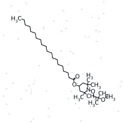 CCCCCCCCCCCCCCCCCCCC(=O)OC1CC(C)(C)N(OCC(C)(C)OC)C(C)(C)C1